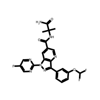 CC(C)(NC(=O)c1cnc2c(-c3cccc(OC(F)F)c3)nn(-c3ncc(F)cn3)c2c1)C(N)=O